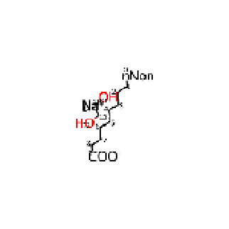 CCCCCCCCCCCCCCCCCC(=O)[O-].OCCO.[Na+]